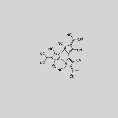 CC(C#N)=C1C(C#N)=c2c(c3c(c4c2=C(C#N)C(=C(C#N)C#N)C=4C#N)=C(C#N)C(=C(C#N)C#N)C=3C#N)=C1C#N